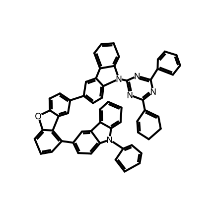 C1=CC(c2nc(-c3ccccc3)nc(-n3c4ccccc4c4cc(-c5ccc6oc7cccc(-c8ccc9c(c8)c8ccccc8n9-c8ccccc8)c7c6c5)ccc43)n2)=CCC1